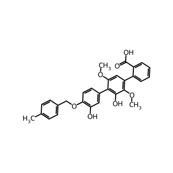 COc1cc(-c2ccccc2C(=O)O)c(OC)c(O)c1-c1ccc(OCc2ccc(C)cc2)c(O)c1